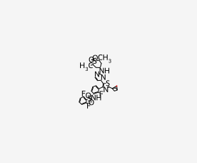 CC1CC(Nc2nccc(-c3sc(C45CC(C4)C5)nc3-c3cccc(NS(=O)(=O)c4c(F)cccc4F)c3F)n2)CC(C)S1(=O)=O